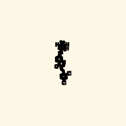 C[C@@H]1C(N=Nc2ccc3c(=O)n(CCc4ccc(Cl)cc4Cl)cnc3c2)C[C@H]2C[C@@H]1C2(C)C